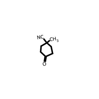 CC1(C#N)CCC(=O)CC1